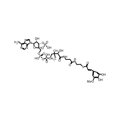 COc1cc(C=CC(=O)SCCNC(=O)CCNC(=O)[C@H](O)C(C)(C)COP(=O)(O)OP(=O)(O)OC[C@H]2O[C@@H](n3cnc4c(N)ncnc43)[C@H](O)[C@@H]2OP(=O)(O)O)cc(O)c1O